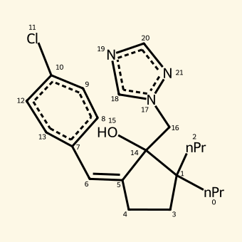 CCCC1(CCC)CC/C(=C/c2ccc(Cl)cc2)C1(O)Cn1cncn1